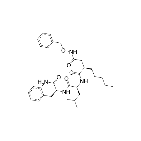 CCCCC[C@H](CC(=O)NOCc1ccccc1)C(=O)N[C@@H](CC(C)C)C(=O)N[C@@H](Cc1ccccc1)C(N)=O